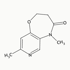 Cc1cc2c(cn1)N(C)C(=O)CCO2